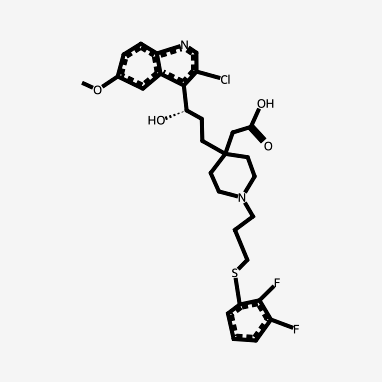 COc1ccc2ncc(Cl)c([C@@H](O)CCC3(CC(=O)O)CCN(CCCSc4cccc(F)c4F)CC3)c2c1